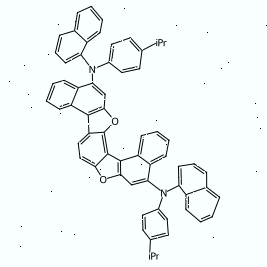 CC(C)c1ccc(N(c2cccc3ccccc23)c2cc3oc4c(ccc5oc6cc(N(c7ccc(C(C)C)cc7)c7cccc8ccccc78)c7ccccc7c6c54)c3c3ccccc23)cc1